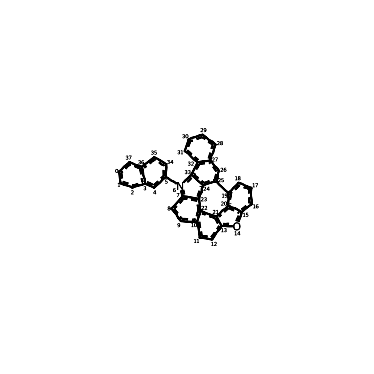 c1ccc2cc(-n3c4ccc5ccc6oc7cccc8c7c6c5c4c4c-8cc5ccccc5c43)ccc2c1